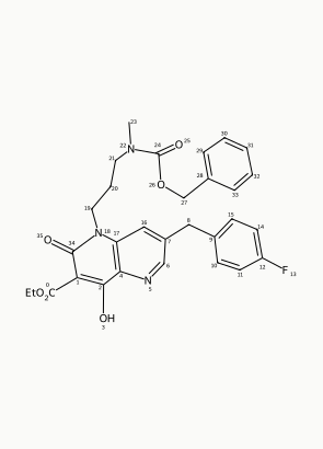 CCOC(=O)c1c(O)c2ncc(Cc3ccc(F)cc3)cc2n(CCCN(C)C(=O)OCc2ccccc2)c1=O